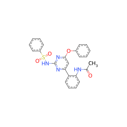 CC(=O)Nc1ccccc1-c1cc(Oc2ccccc2)nc(NS(=O)(=O)c2ccccc2)n1